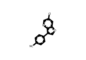 N#Cc1ccc(-c2coc3cc(Cl)cnc23)cc1